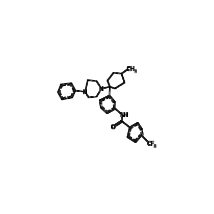 CC1CCC(c2cccc(NC(=O)c3ccc(C(F)(F)F)cc3)c2)(N2CCN(c3ccccc3)CC2)CC1